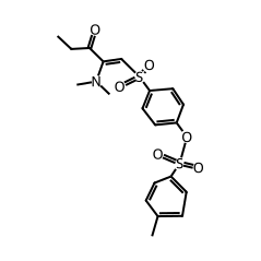 CCC(=O)C(=CS(=O)(=O)c1ccc(OS(=O)(=O)c2ccc(C)cc2)cc1)N(C)C